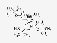 C[SiH](C)O[C@]1(C(O)CC(=O)OC(C)(C)C)C[C@H](C(C)(C)C)CN1C(=O)OC(C)(C)C